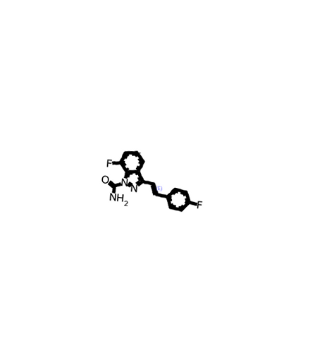 NC(=O)n1nc(/C=C/c2ccc(F)cc2)c2c[c]cc(F)c21